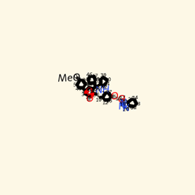 COc1ccc(COC(=O)[C@@H](Cc2ccc(OCOn3nnc4ccccc43)cc2)NC(c2ccccc2)(c2ccccc2)c2ccccc2)cc1